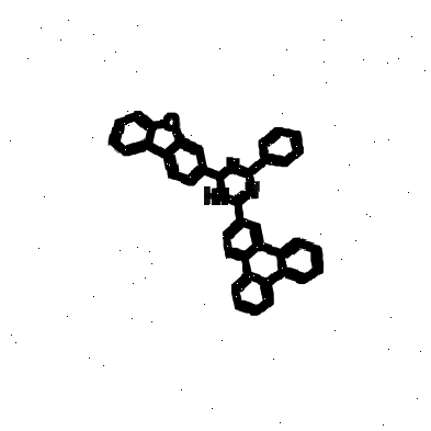 c1ccc(C2=NC(c3ccc4c(c3)oc3ccccc34)NC(c3ccc4c5ccccc5c5ccccc5c4c3)=N2)cc1